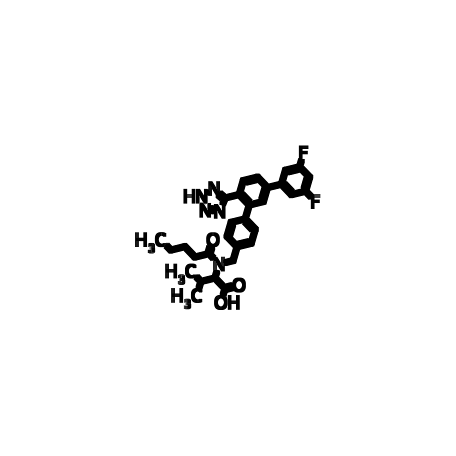 CCCCC(=O)N(Cc1ccc(-c2cc(-c3cc(F)cc(F)c3)ccc2-c2nn[nH]n2)cc1)C(C(=O)O)C(C)C